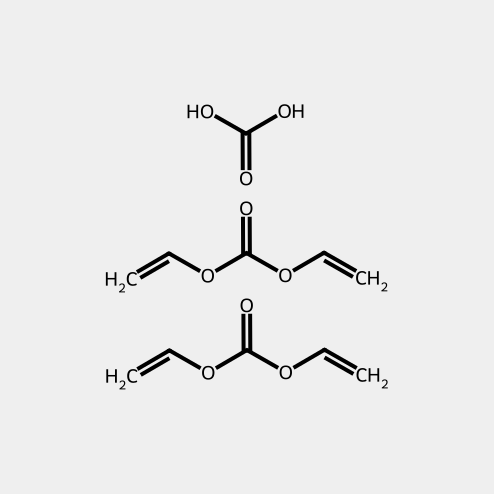 C=COC(=O)OC=C.C=COC(=O)OC=C.O=C(O)O